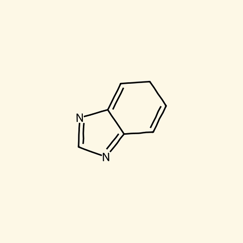 C1=CC2=NC=NC2=CC1